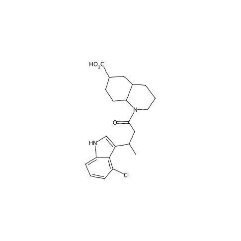 CC(CC(=O)N1CCCC2CC(C(=O)O)CCC21)c1c[nH]c2cccc(Cl)c12